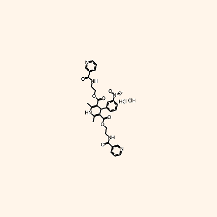 CC1=C(C(=O)OCCNC(=O)c2cccnc2)C(c2cccc([N+](=O)[O-])c2)C(C(=O)OCCNC(=O)c2cccnc2)=C(C)N1.Cl.Cl